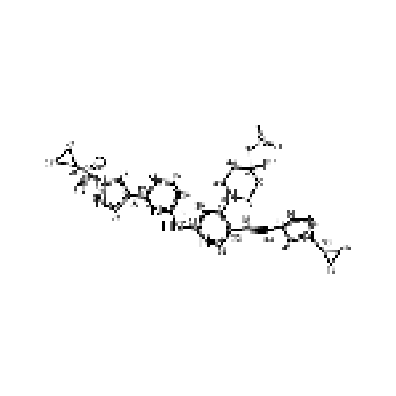 CN(C)CC1(F)CCN(c2cc(Nc3ccnc(-c4cnn(S(=O)(=O)C5CC5)c4)n3)ncc2C#Cc2cnn(C3CC3)c2)CC1